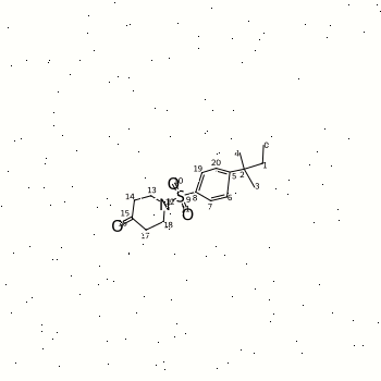 CCC(C)(C)c1ccc(S(=O)(=O)N2CCC(=O)CC2)cc1